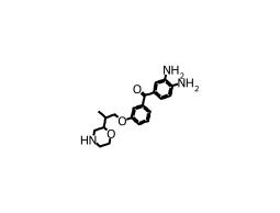 CC(COc1cccc(C(=O)c2ccc(N)c(N)c2)c1)C1CNCCO1